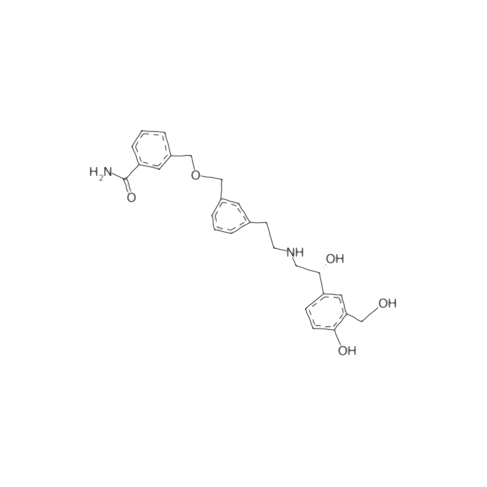 NC(=O)c1cccc(COCc2cccc(CCNC[C@H](O)c3ccc(O)c(CO)c3)c2)c1